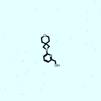 OCc1cccc(N2CC3(CCOCC3)C2)n1